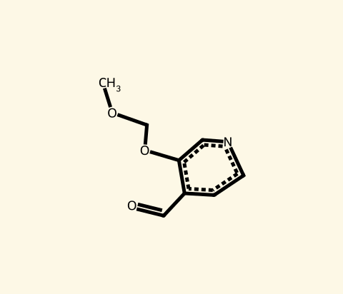 COCOc1cnccc1C=O